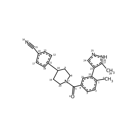 Cc1ccc(C(=O)N2CCC(c3ccc(C#N)cc3)CC2)cc1-c1cn[nH]c1C